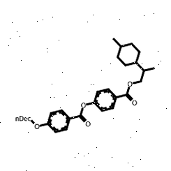 CCCCCCCCCCOc1ccc(C(=O)Oc2ccc(C(=O)OCC(C)C3CCC(C)CC3)cc2)cc1